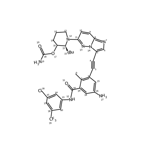 Cc1c(C#Cc2cnc3ccc(N4CCCC(OC(N)=O)[C@@H]4C(C)(C)C)nn23)cc(N)cc1C(=O)Nc1cc(Cl)cc(C(F)(F)F)c1